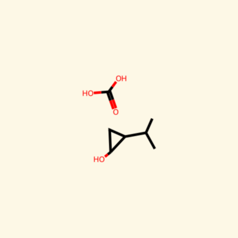 CC(C)C1CC1O.O=C(O)O